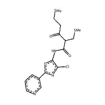 CSCCC(=O)C(CSC)C(=O)Nc1sc(-c2cccnc2)nc1Cl